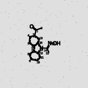 CC(=O)c1ccc2c3ccccc3n(C(C)=NO)c2c1